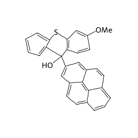 COc1ccc2c(c1)Sc1ccccc1C2(O)c1cc2ccc3cccc4ccc(c1)c2c34